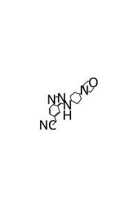 N#CCc1ccc2ncnc(NC3CCC(N4CCOCC4)CC3)c2c1